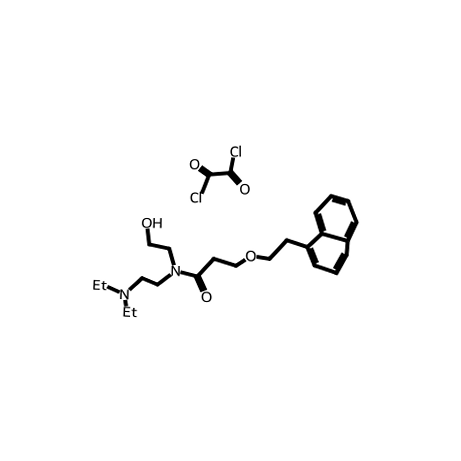 CCN(CC)CCN(CCO)C(=O)CCOCCc1cccc2ccccc12.O=C(Cl)C(=O)Cl